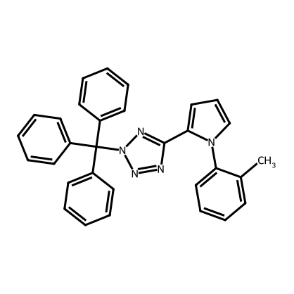 Cc1ccccc1-n1cccc1-c1nnn(C(c2ccccc2)(c2ccccc2)c2ccccc2)n1